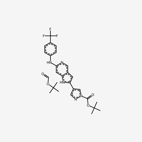 CC(C)(C)OC(=O)n1cc(-c2cc3cnc(Nc4ccc(C(F)(F)F)cc4)cc3[nH]2)cn1.CC(C)(C)OC=O